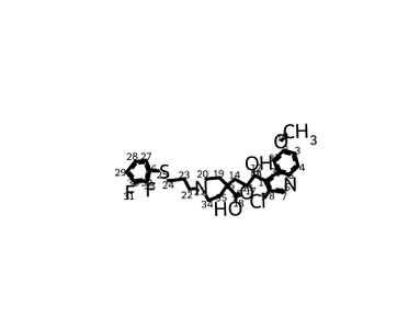 COc1ccc2ncc(Cl)c([C@H](O)CCC3(C(=O)O)CCN(CCCSc4cccc(F)c4F)CC3)c2c1